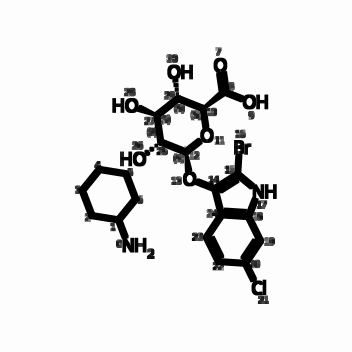 NC1CCCCC1.O=C(O)[C@H]1O[C@@H](Oc2c(Br)[nH]c3cc(Cl)ccc23)[C@H](O)[C@@H](O)[C@@H]1O